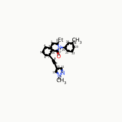 CCc1cc2cccc(C#Cc3cnn(C)c3)c2c(=O)n1-c1cccc(C)c1